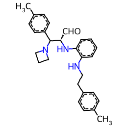 Cc1ccc(CCNc2ccccc2N[C@H](C=O)C(c2ccc(C)cc2)N2CCC2)cc1